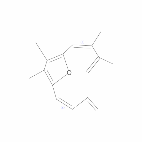 C=C/C=C\c1oc(/C=C(/C)C(=C)C)c(C)c1C